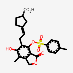 Cc1ccc(S(=O)(=O)Oc2c(C/C=C3\CCC(C(=O)O)C3)c(O)c(C)c3c2C(=O)OC3)cc1